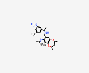 CN/C(C)=N\c1cc2c(cc1CNC(C)c1cc(N)cc(C(F)(F)F)c1)OC(C)CC(C)O2